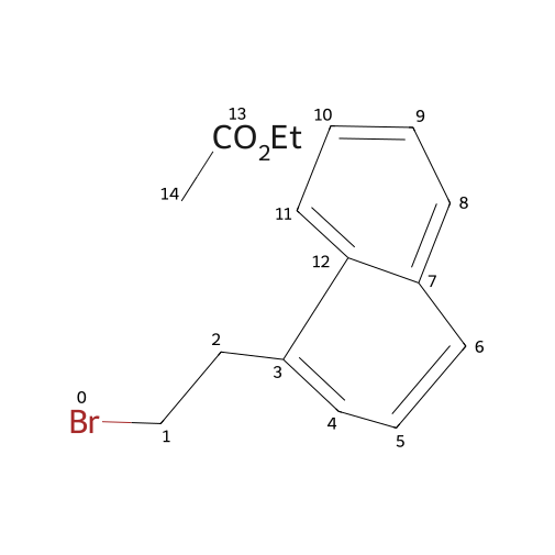 BrCCc1cccc2ccccc12.CCOC(C)=O